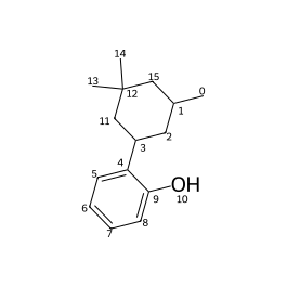 CC1CC(c2ccccc2O)CC(C)(C)C1